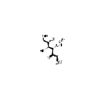 O=C(CO)[C@@H](O)[C@H](O)[C@H](O)CO.[K].[K]